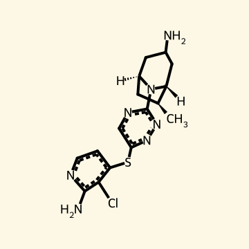 C[C@H]1C[C@H]2CC(N)C[C@H]1N2c1ncc(Sc2ccnc(N)c2Cl)nn1